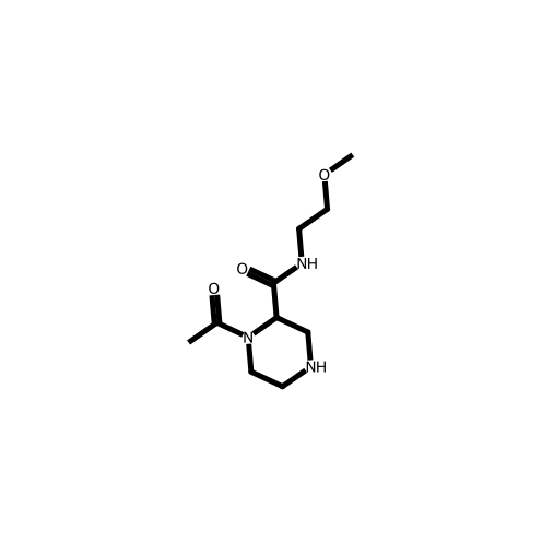 COCCNC(=O)C1CNCCN1C(C)=O